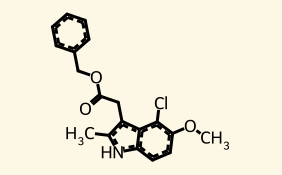 COc1ccc2[nH]c(C)c(CC(=O)OCc3ccccc3)c2c1Cl